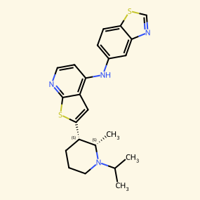 CC(C)N1CCC[C@H](c2cc3c(Nc4ccc5scnc5c4)ccnc3s2)[C@@H]1C